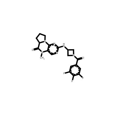 CN1C(=O)C2CCCN2c2nc(NC3CN(C(=O)c4cc(F)c(F)c(F)c4)C3)ncc21